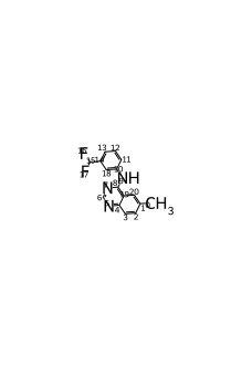 Cc1ccc2ncnc(Nc3cccc(C(F)F)c3)c2c1